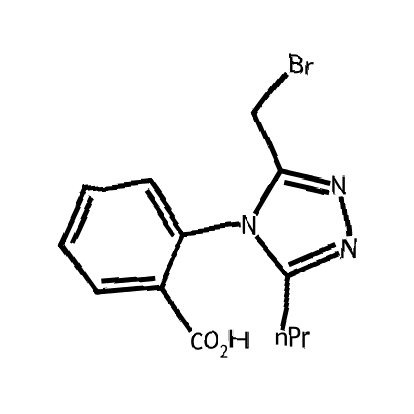 CCCc1nnc(CBr)n1-c1ccccc1C(=O)O